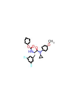 COc1ccc(N(C(=O)[C@H](Cc2cc(F)cc(F)c2)NC(=O)Oc2ccccc2)C2CC2)cc1